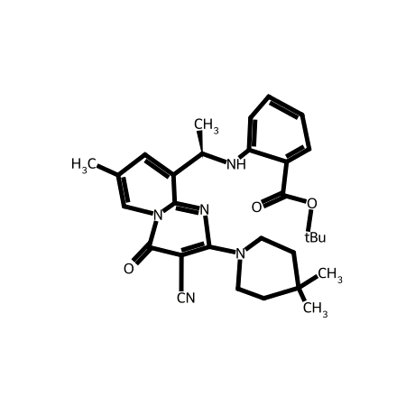 Cc1cc([C@@H](C)Nc2ccccc2C(=O)OC(C)(C)C)c2nc(N3CCC(C)(C)CC3)c(C#N)c(=O)n2c1